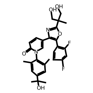 Cc1cc(C(C)(C)O)cc(C)c1-n1cc(-c2nc(C(C)(CO)CO)oc2-c2ccc(F)cc2F)ccc1=O